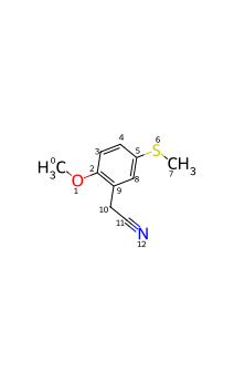 COc1ccc(SC)cc1CC#N